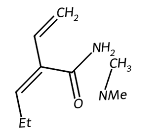 C=CC(=CCC)C(N)=O.CNC